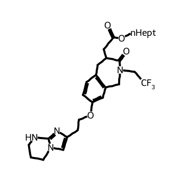 CCCCCCCOC(=O)CC1Cc2ccc(OCCc3cn4c(n3)NCCC4)cc2CN(CC(F)(F)F)C1=O